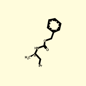 CC(C)C[C@@H](C)NC(=O)OCc1ccccc1